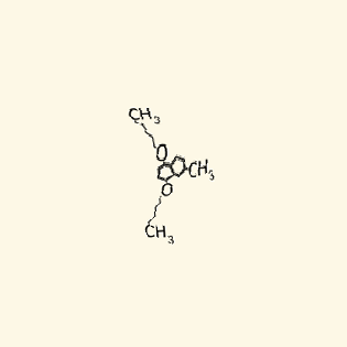 CCCCCCOc1ccc(OCCCCCC)c2cc(C)ccc12